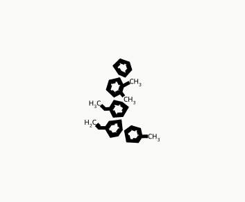 C=Cc1ccccc1.CCc1ccccc1.Cc1ccccc1.Cc1ccccc1C.c1ccccc1